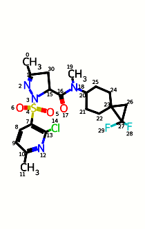 CC1=NN(S(=O)(=O)c2ccc(C)nc2Cl)C(C(=O)N(C)C2CCC3(CC2)CC3(F)F)C1